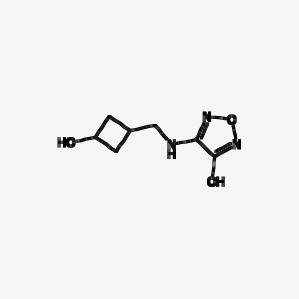 Oc1nonc1NCC1CC(O)C1